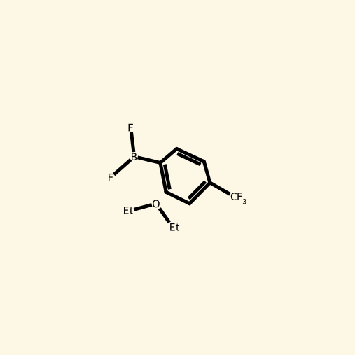 CCOCC.FB(F)c1ccc(C(F)(F)F)cc1